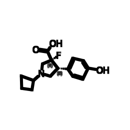 O=C(O)[C@]1(F)CN(C2CCC2)C[C@H]1c1ccc(O)cc1